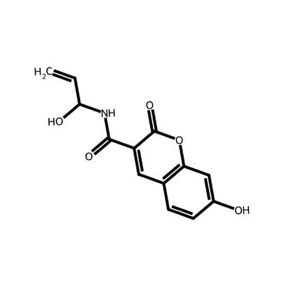 C=CC(O)NC(=O)c1cc2ccc(O)cc2oc1=O